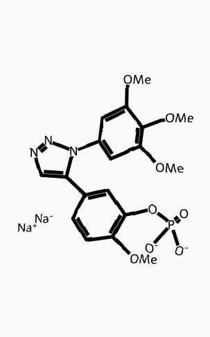 COc1ccc(-c2cnnn2-c2cc(OC)c(OC)c(OC)c2)cc1OP(=O)([O-])[O-].[Na+].[Na+]